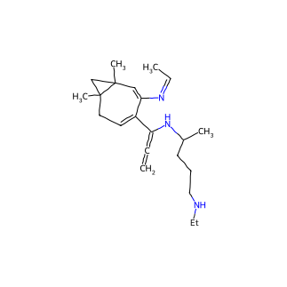 C=C=C(NC(C)CCCNCC)C1=CCC2(C)CC2(C)C=C1/N=C\C